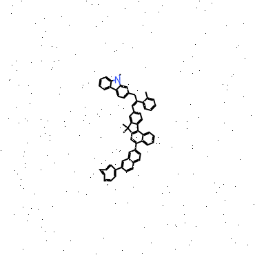 Cc1ccccc1/C(=C\c1ccc2c(c1)C(C)(C)c1cc(-c3ccc4ccc(C5=C/C=C\C=C\C=C\5)cc4c3)c3ccccc3c1-2)Cc1ccc2c3ccccc3n(C)c2c1